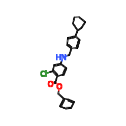 O=C(OCc1ccccc1)c1ccc(NCc2ccc(C3CCCCC3)cc2)cc1Cl